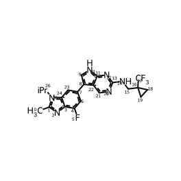 Cc1nc2c(F)cc(-c3c[nH]c4nc(NCC5(C(F)(F)F)CC5)ncc34)cc2n1C(C)C